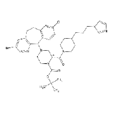 CC(C)(C)OC(=O)N1CCN(C2c3ccc(Cl)cc3CCc3cc(Br)cnc32)C[C@@H]1C(=O)N1CCC(CCCn2ccnc2)CC1